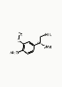 CCOc1cc([C@@H](CN)SC)ccc1OC